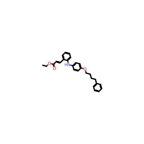 CCOC(=O)C=Cc1ccccc1Nc1ccc(OCCCCc2ccccc2)cc1